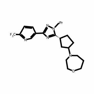 CC(C)n1nc(-c2ccc(C(F)(F)F)nc2)nc1[C@@H]1CCC(N2CCCOCC2)C1